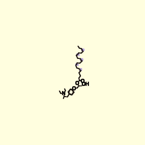 CC/C=C\C/C=C\C/C=C\C/C=C\C/C=C\CCCC(=O)OC(CO)COc1ccc(CC(C)N(CC)CC)cc1